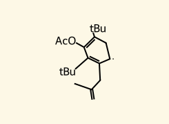 C=C(C)CC1=C(C(C)(C)C)C(OC(C)=O)=C(C(C)(C)C)C[CH]1